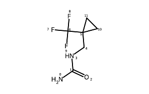 NC(=O)NCC1(C(F)(F)F)CC1